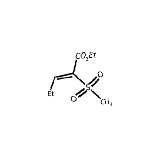 CCC=C(C(=O)OCC)S(C)(=O)=O